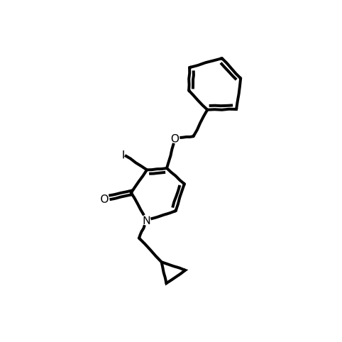 O=c1c(I)c(OCc2ccccc2)ccn1CC1CC1